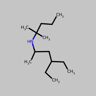 CCCC(C)(C)NC(C)CC(CC)CC